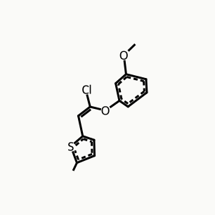 COc1cccc(O/C(Cl)=C\c2ccc(C)s2)c1